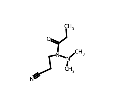 CCC(=O)N(CCC#N)N(C)C